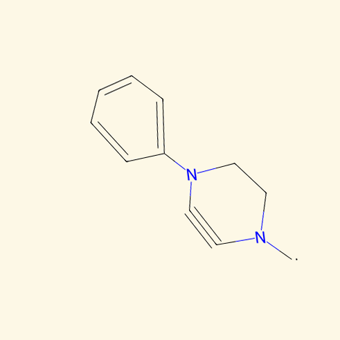 [CH2]N1C#CN(c2ccccc2)CC1